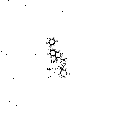 O=C(O)OC1(CNC(=O)c2ncc3cc(Oc4ccccc4)ccc3c2O)CCOCC1